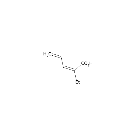 C=CC=C(CC)C(=O)O